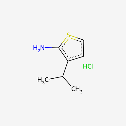 CC(C)c1ccsc1N.Cl